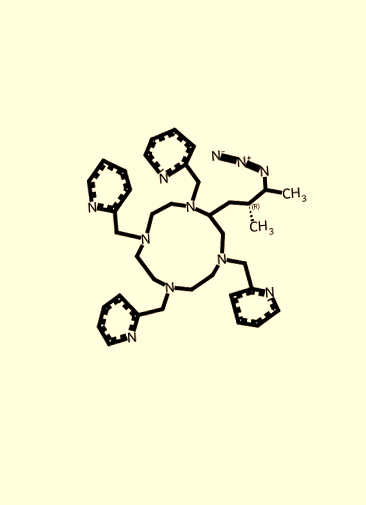 CC(N=[N+]=[N-])[C@H](C)CC1CN(Cc2ccccn2)CCN(Cc2ccccn2)CCN(Cc2ccccn2)CCN1Cc1ccccn1